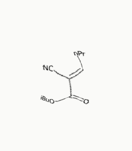 CCC/C=C(\C#N)C(=O)OCC(C)C